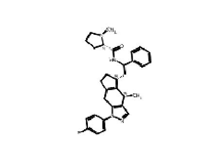 C[C@@H]1C2=C(CC[C@@H]2CC(NC(=O)[C@@H]2CCCN2C)c2ccccc2)Cc2c1cnn2-c1ccc(F)cc1